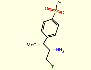 CO[C@H](c1ccc(S(=O)(=O)C(C)C)cc1)[C@H](N)CF